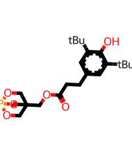 CC(C)(C)c1cc(CCC(=O)OCC23COP(OC2)OC3)cc(C(C)(C)C)c1O